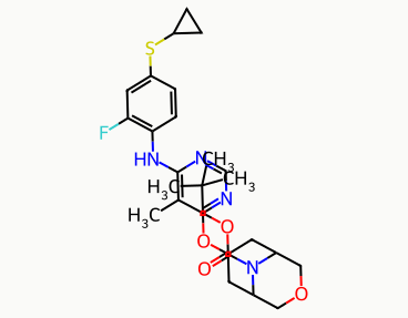 Cc1c(Nc2ccc(SC3CC3)cc2F)ncnc1OC1CC2COCC(C1)N2C(=O)OCC(C)(C)C